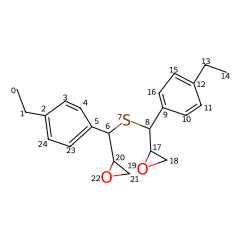 CCc1ccc(C(SC(c2ccc(CC)cc2)C2CO2)C2CO2)cc1